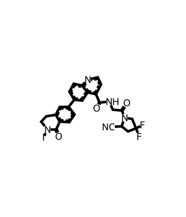 N#CC1CC(F)(F)CN1C(=O)CNC(=O)c1ccnc2ccc(-c3ccc4c(c3)CCN(I)C4=O)cc12